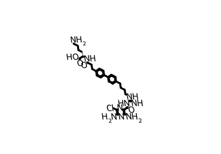 N=C(NCCCCc1ccc(-c2ccc(CCC(=O)N[C@@H](CCCCN)C(=O)O)cc2)cc1)NC(=O)c1nc(Cl)c(N)nc1N